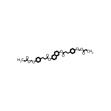 C=CC(=O)OCOc1ccc(CCC(=O)Oc2ccc3cc(OC(=O)CCc4ccc(OCOC(=O)C=C)cc4)ccc3c2)cc1